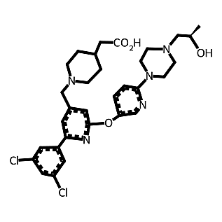 C[C@@H](O)CN1CCN(c2ccc(Oc3cc(CN4CCC(CC(=O)O)CC4)cc(-c4cc(Cl)cc(Cl)c4)n3)cn2)CC1